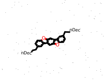 CCCCCCCCCCCCc1ccc2oc3cc4c(cc3c2c1)oc1ccc(CCCCCCCCCCCC)cc14